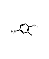 Nc1cnc(N)c(I)c1